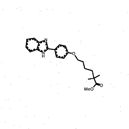 COC(=O)C(C)(C)CCCCOc1ccc(-c2nc3ccccc3[nH]2)cc1